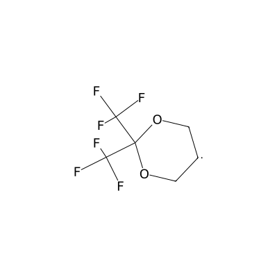 FC(F)(F)C1(C(F)(F)F)OC[CH]CO1